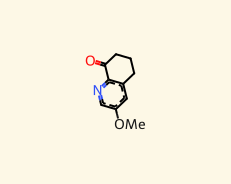 COc1cnc2c(c1)CCCC2=O